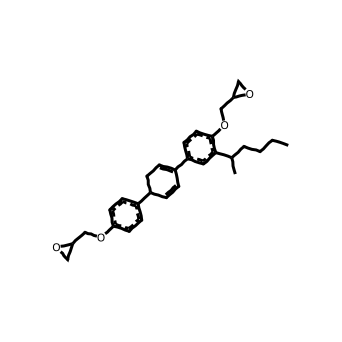 CCCCC(C)c1cc(C2=CCC(c3ccc(OCC4CO4)cc3)C=C2)ccc1OCC1CO1